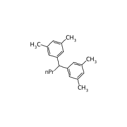 CCCC(c1cc(C)cc(C)c1)c1cc(C)cc(C)c1